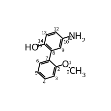 COc1ccccc1-c1cc(N)ccc1O